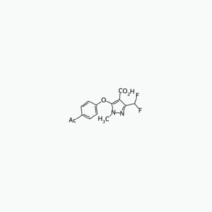 CC(=O)c1ccc(Oc2c(C(=O)O)c(C(F)F)nn2C)cc1